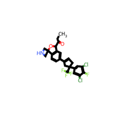 CCC(=O)C1OC2(CNC2)c2ccc(C3=CCC(c4cc(Cl)c(F)c(Cl)c4)(C(F)(F)F)C3)cc21